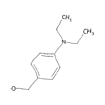 CCN(CC)c1ccc(C[O])cc1